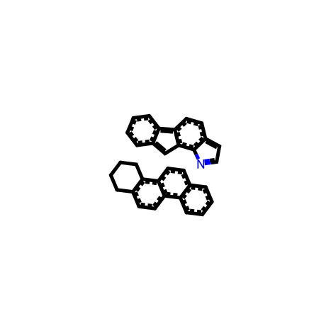 C1=Nc2c3c(ccc2=C1)=c1ccccc1=C3.c1ccc2c(c1)ccc1c3c(ccc12)CCCC3